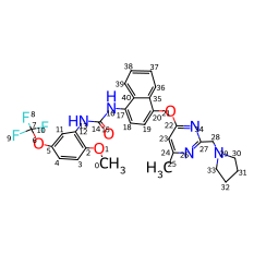 COc1ccc(OC(F)(F)F)cc1NC(=O)Nc1ccc(Oc2cc(C)nc(CN3CCCC3)n2)c2ccccc12